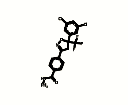 O=C(NP)c1ccc(C2=NOC(c3cc(Cl)cc(Cl)c3)(C(F)(F)F)C2)cc1